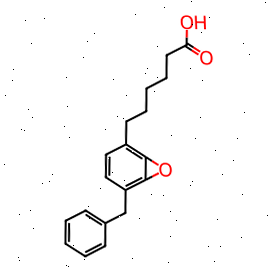 O=C(O)CCCCCc1ccc(Cc2ccccc2)c2c1O2